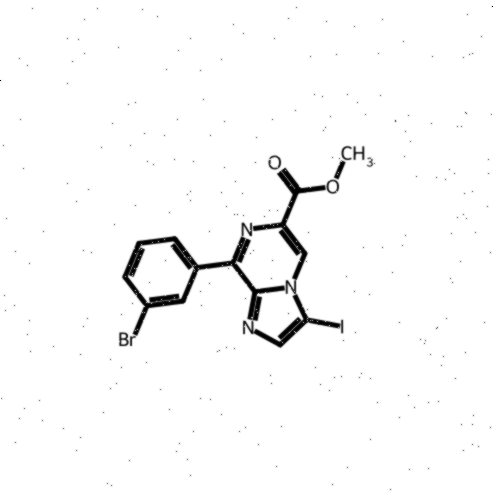 COC(=O)c1cn2c(I)cnc2c(-c2cccc(Br)c2)n1